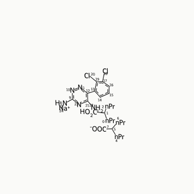 CCCC(CCC)C(=O)O.CCCC(CCC)C(=O)[O-].Nc1nnc(-c2cccc(Cl)c2Cl)c(N)n1.[Na+]